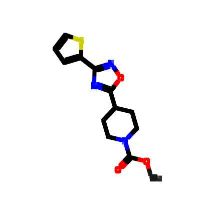 CC(C)(C)OC(=O)N1CCC(c2nc(-c3cccs3)no2)CC1